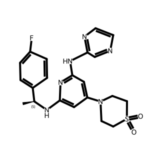 C[C@H](Nc1cc(N2CCS(=O)(=O)CC2)cc(Nc2cnccn2)n1)c1ccc(F)cc1